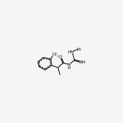 CC(C)NC(=N)NC(=O)C(C)c1ccccc1C(F)(F)F